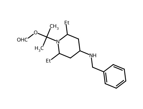 CCC1CC(NCc2ccccc2)CC(CC)N1C(C)(C)OC=O